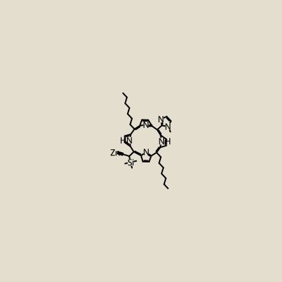 C#CC(c1c2nc(c(CCCCCCC)c3ccc([nH]3)c(-c3nccn3C)c3nc(c(CCCCCCC)c4ccc1[nH]4)C=C3)C=C2)[Si](C)(C)C.[Zn]